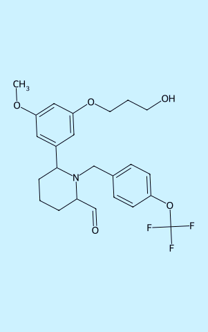 COc1cc(OCCCO)cc(C2CCCC(C=O)N2Cc2ccc(OC(F)(F)F)cc2)c1